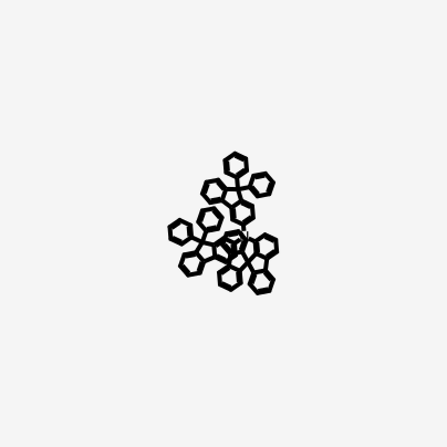 c1ccc(C2(c3ccccc3)c3ccccc3-c3cc(N(c4ccc5c(c4)C(c4ccccc4)(c4ccccc4)c4ccccc4-5)c4cccc5c4C4(c6ccccc6-c6ccccc64)c4ccccc4-5)ccc32)cc1